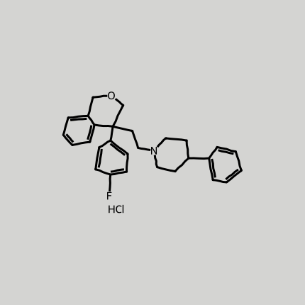 Cl.Fc1ccc(C2(CCN3CCC(c4ccccc4)CC3)COCc3ccccc32)cc1